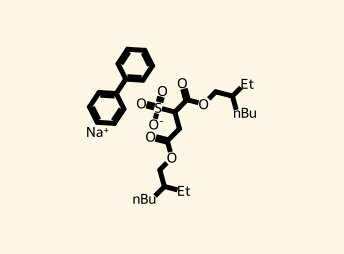 CCCCC(CC)COC(=O)CC(C(=O)OCC(CC)CCCC)S(=O)(=O)[O-].[Na+].c1ccc(-c2ccccc2)cc1